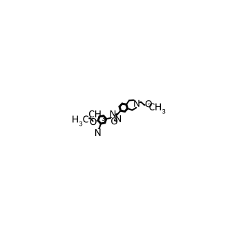 COCCN1CCc2ccc(-c3noc(-c4ccc(OC(C)C)c(C#N)c4)n3)cc2CC1